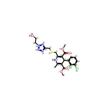 COC(=O)C1=C(C)NC(CSCc2nnn(CCO)n2)=C(C(=O)OC)C1c1cccc(Cl)c1Cl